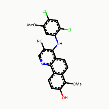 COc1cc(Nc2c(C#N)cnc3c2ccc2c(OC)c(O)ccc23)c(Cl)cc1Cl